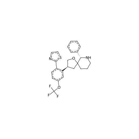 FC(F)(F)Oc1ccc(-c2nccs2)c([C@H]2COC3(CCCN[C@H]3c3ccccc3)C2)c1